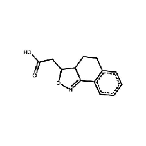 O=C(O)CC1ON=C2c3ccccc3CCC21